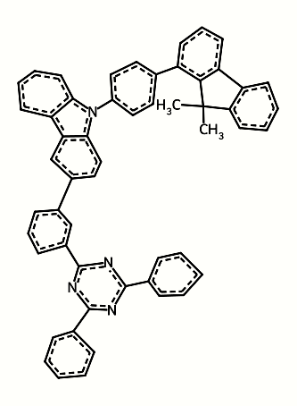 CC1(C)c2ccccc2-c2cccc(-c3ccc(-n4c5ccccc5c5cc(-c6cccc(-c7nc(-c8ccccc8)nc(-c8ccccc8)n7)c6)ccc54)cc3)c21